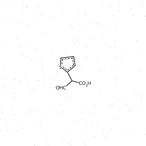 O=[C]C(C(=O)O)c1cccs1